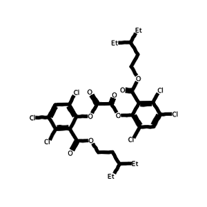 CCC(CC)CCOC(=O)c1c(Cl)c(Cl)cc(Cl)c1OC(=O)C(=O)Oc1c(Cl)cc(Cl)c(Cl)c1C(=O)OCCC(CC)CC